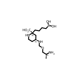 C[C@H](N)COCN[C@H]1CCN[C@@](CCCCB(O)O)(C(=O)O)C1